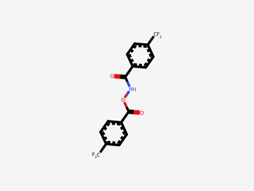 O=C(NOC(=O)c1ccc(C(F)(F)F)cc1)c1ccc(C(F)(F)F)cc1